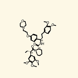 CC[C@H](C(=O)N1CCCC[C@H]1C(=O)N[C@H](CCc1ccc(OC)c(OC)c1)c1ccc(OCCN2CCOCC2)cc1)c1cc(OC)c(OC)c(OC)c1